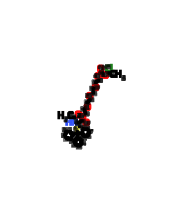 CC(=O)N[C@@H](CSC(c1ccccc1)(c1ccccc1)c1ccccc1)C(=O)OCCOCCOCCOCCOC(=O)OC(C)Cl